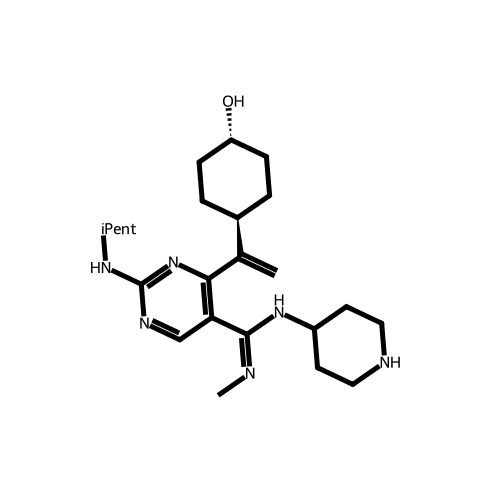 C=C(c1nc(NC(C)CCC)ncc1/C(=N\C)NC1CCNCC1)[C@H]1CC[C@H](O)CC1